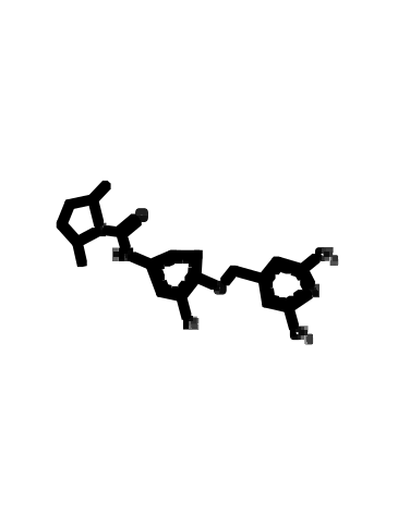 CCc1cc(NC(=O)N2C(C)CCC2C)ccc1OCc1cc(C(F)(F)F)nc(C(F)(F)F)c1